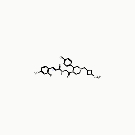 O=C(/C=C/c1ccc(C(F)(F)F)cc1F)NCC(=O)N1CCN(CC2CC(C(=O)O)C2)CC1c1ccc(Cl)cc1